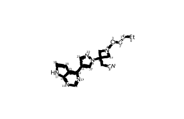 CCSOON1CC(CC#N)(n2cc(-c3ncnc4[nH]ccc34)cn2)C1